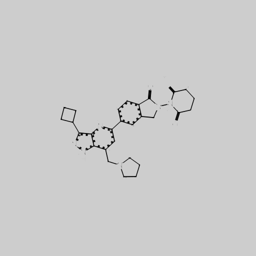 O=C1c2ccc(-c3cc(CN4CCCC4)c4[nH]nc(C5CCC5)c4n3)cc2CN1N1C(=O)CCCC1=O